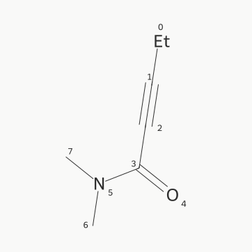 [CH2]CC#CC(=O)N(C)C